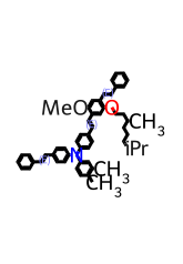 COc1cc(/C=C/c2ccccc2)c(OCCC(C)CCCC(C)C)cc1/C=C/c1ccc(N(c2ccc(/C=C/c3ccccc3)cc2)c2ccc(C)c(C)c2)cc1